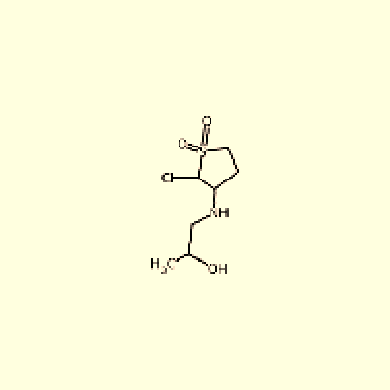 CC(O)CNC1CCS(=O)(=O)C1Cl